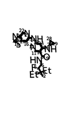 CCC(C)(CC)[C@H](F)CNC(=O)c1cnc(Nc2cc3scnc3cn2)cc1NC1CC1